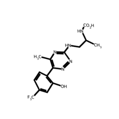 Cc1nc(NCC(C)NC(=O)O)nnc1-c1ccc(C(F)(F)F)cc1O